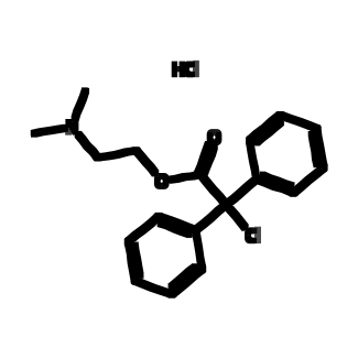 CN(C)CCOC(=O)C(Cl)(c1ccccc1)c1ccccc1.Cl